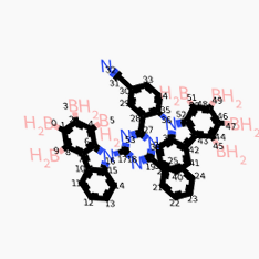 Bc1c(B)c(B)c2c(c1B)c1ccccc1n2-c1nc(-c2ccccc2)nc(-c2cc(C#N)ccc2-n2c3ccccc3c3c(B)c(B)c(B)c(B)c32)n1